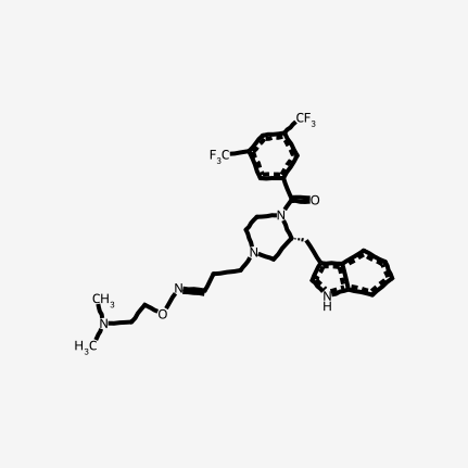 CN(C)CCON=CCCN1CCN(C(=O)c2cc(C(F)(F)F)cc(C(F)(F)F)c2)[C@H](Cc2c[nH]c3ccccc23)C1